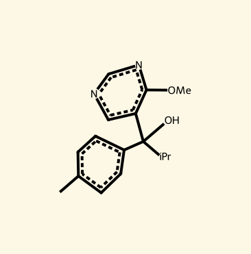 COc1ncncc1C(O)(c1ccc(C)cc1)C(C)C